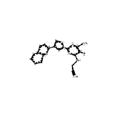 C#CCNc1nc(-n2cc(-c3ccc4ccccc4n3)cn2)nc(N)c1Br